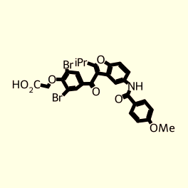 COc1ccc(C(=O)Nc2ccc3oc(C(C)C)c(C(=O)c4cc(Br)c(OCC(=O)O)c(Br)c4)c3c2)cc1